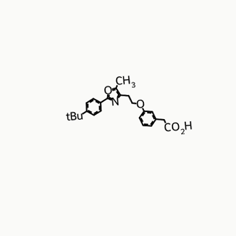 Cc1oc(-c2ccc(C(C)(C)C)cc2)nc1CCOc1cccc(CC(=O)O)c1